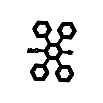 COc1c(-c2ccccc2)c(-c2ccccc2)c(Br)c(-c2ccccc2)c1-c1ccccc1